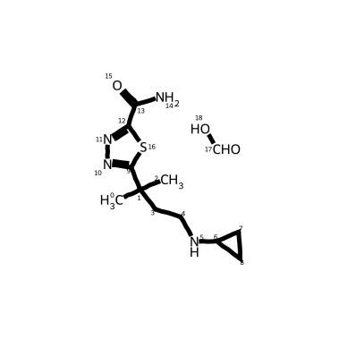 CC(C)(CCNC1CC1)c1nnc(C(N)=O)s1.O=CO